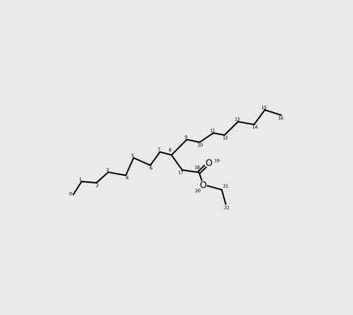 CCCCCCCCC(CCCCCCCC)CC(=O)OCC